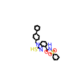 O=C(NS(=O)(=O)c1ccccc1)c1cccc2c1nc(S)n2Cc1ccc(-c2ccccc2)cc1